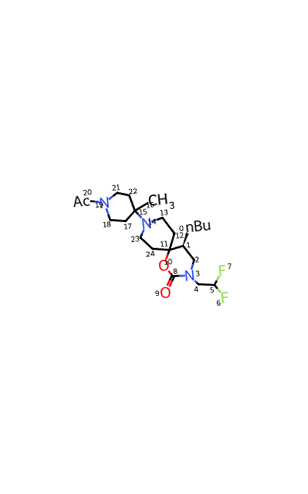 CCCC[C@H]1CN(CC(F)F)C(=O)OC12CCN(C1(C)CCN(C(C)=O)CC1)CC2